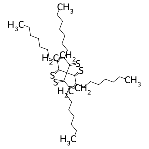 C=C(CCCCCCC)C(=S)C(C(=S)C(=C)CCCCCCC)(C(=S)C(=C)CCCCCCC)C(=S)C(=C)CCCCCCC